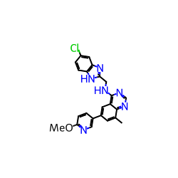 COc1ccc(-c2cc(C)c3ncnc(NCc4nc5cc(Cl)ccc5[nH]4)c3c2)cn1